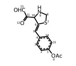 CC(=O)Oc1ccc(C=C2SCNC2C(=O)C=O)cc1